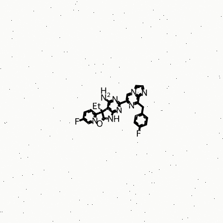 CCC1(c2ccc(F)cn2)C(=O)Nc2nc(-c3cn4ccnc4c(Cc4ccc(F)cc4)n3)nc(N)c21